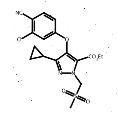 CCOC(=O)c1c(Oc2ccc(C#N)c(Cl)c2)c(C2CC2)nn1CS(C)(=O)=O